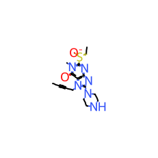 CC#CCn1c(N2CCNCC2)nc2nc([S+]([O-])CC)n(C)c(=O)c21